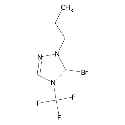 CCCN1N=CN(C(F)(F)F)C1Br